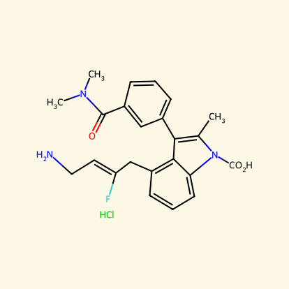 Cc1c(-c2cccc(C(=O)N(C)C)c2)c2c(CC(F)=CCN)cccc2n1C(=O)O.Cl